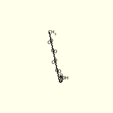 CCCCCCOC(=O)CCCCCOC(=O)CCCCCOC(=O)CCCCCOC(=O)CCCC(CC1CCCO1)C(=O)OO